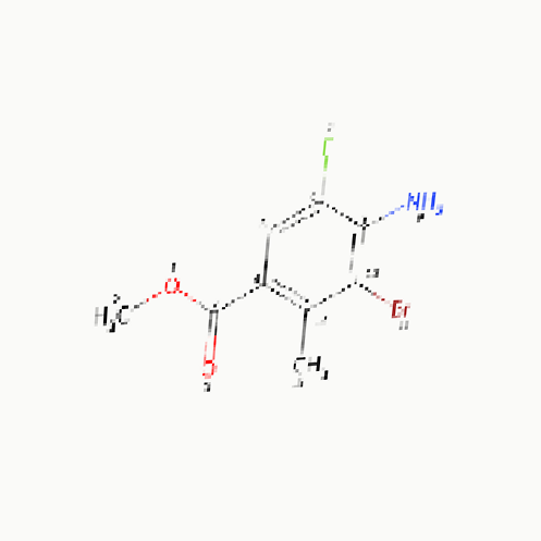 COC(=O)c1cc(F)c(N)c(Br)c1C